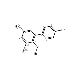 Cc1cc(-c2ccc(F)cc2)c(CBr)c(C)n1